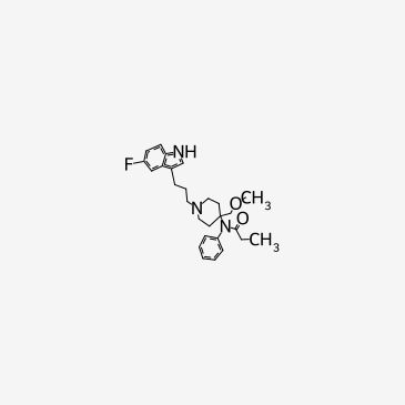 CCC(=O)N(c1ccccc1)C1(COC)CCN(CCCc2c[nH]c3ccc(F)cc23)CC1